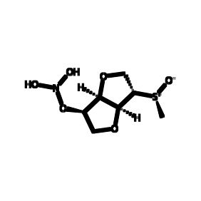 C[S@+]([O-])[C@H]1CO[C@H]2[C@@H]1OC[C@H]2ON(O)O